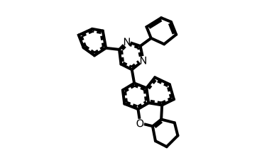 C1=CCC(c2nc(-c3ccccc3)cc(-c3ccc4c5c(cccc35)C3=C(CCCC3)O4)n2)C=C1